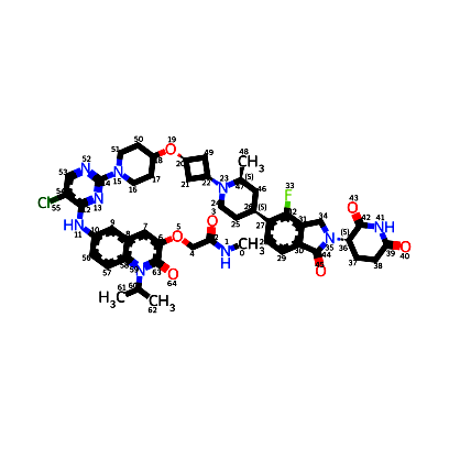 CNC(=O)COc1cc2cc(Nc3nc(N4CCC(O[C@H]5C[C@H](N6CC[C@H](c7ccc8c(c7F)CN([C@H]7CCC(=O)NC7=O)C8=O)C[C@@H]6C)C5)CC4)ncc3Cl)ccc2n(C(C)C)c1=O